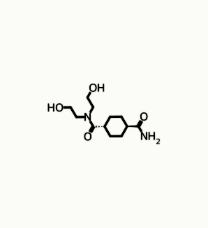 NC(=O)[C@H]1CC[C@H](C(=O)N(CCO)CCO)CC1